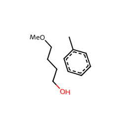 COCCCCO.Cc1ccccc1